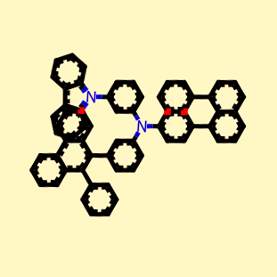 c1ccc(-c2c(-c3cccc(N(c4ccc(-c5cccc6cccc(-c7ccccc7)c56)cc4)c4cccc(-n5c6ccccc6c6ccccc65)c4)c3)c3ccccc3c3ccccc23)cc1